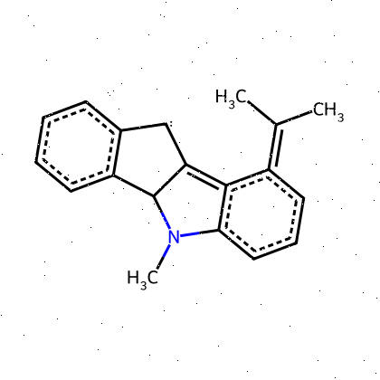 CC(C)=c1cccc2c1=C1[C]c3ccccc3C1N2C